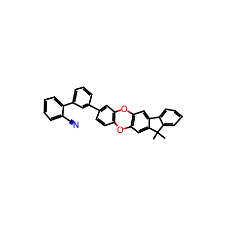 CC1(C)c2ccccc2-c2cc3c(cc21)Oc1ccc(-c2cccc(-c4ccccc4C#N)c2)cc1O3